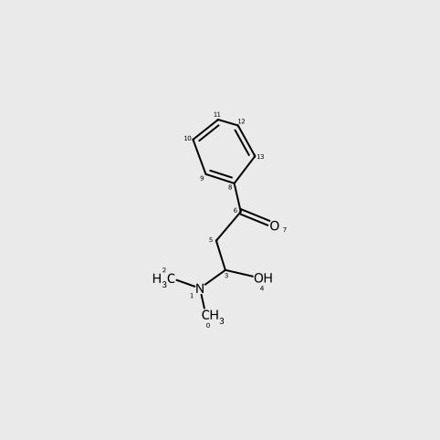 CN(C)C(O)CC(=O)c1ccccc1